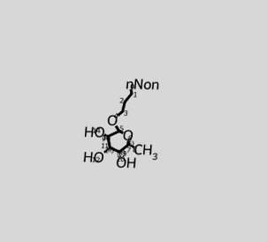 CCCCCCCCCCCCOC1O[C@@H](C)[C@H](O)[C@@H](O)[C@H]1O